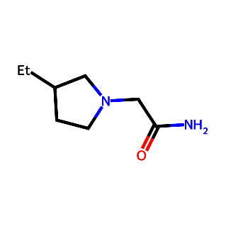 CCC1CCN(CC(N)=O)C1